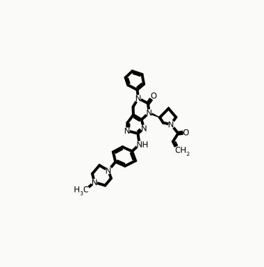 C=CC(=O)N1CC[C@H](N2C(=O)N(c3ccccc3)Cc3cnc(Nc4ccc(N5CCN(C)CC5)cc4)nc32)C1